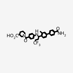 Cc1cc(-c2ccc(C(N)=O)cc2)ccc1C(CCC(F)(F)F)Nc1ccc(C(=O)N2CCC[C@@H](C(=O)O)C2)cc1